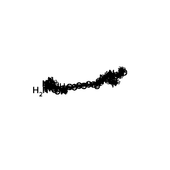 CN(Cc1cnc2nc(N)[nH]c(=O)c2n1)c1ccc(C(=O)N[C@@H](CCc2cn(CCOCCOCCOCCOCCOCCOCC(=O)N3CCN(c4ncc(-c5ccc6nc(COc7cccc(N8CCCC8=O)c7)n(Cc7ccccc7OC(F)F)c6c5)cn4)CC3)nn2)C(=O)O)cc1